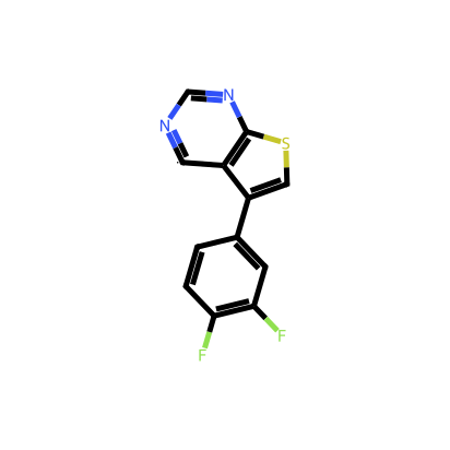 Fc1ccc(-c2csc3ncn[c]c23)cc1F